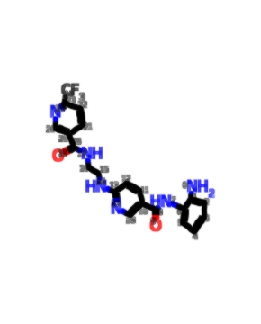 Nc1ccccc1NC(=O)c1ccc(NCCNC(=O)c2ccc(C(F)(F)F)nc2)nc1